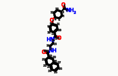 NC(=O)[C@H]1CC[C@@H](Oc2ccc(C(=O)NCCNC(=O)c3ccc4ccccc4c3)cc2)CC1